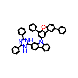 c1ccc(C2=NC(c3ccccc3)NC(c3ccc4c5ccccc5n(-c5cc(-c6ccccc6)c6oc7ccc(-c8ccccc8)cc7c6c5)c4c3)N2)cc1